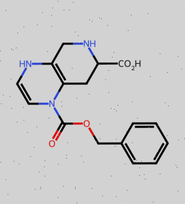 O=C(O)C1CC2=C(CN1)NC=CN2C(=O)OCc1ccccc1